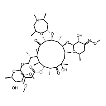 CON=C1C[C@@H](C)O[C@@H](O[C@@H]2[C@@H](C)[C@H](O[C@H]3C[C@H](C)N(C)C[C@H](C)O3)[C@@H](C)C(=O)O[C@H]([C@@H](C)CO[C@@H]3O[C@H](C)[C@@H](O)[C@@H](OC)[C@H]3OC)[C@H](C)[C@@H](OC(=O)CC(C)C)[C@@H](C)C(=O)[C@@](C)(O)C[C@@H]2C)[C@@H]1O